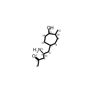 CC(=O)C[C@@H](N)CC1CCC(C)C(O)CC1